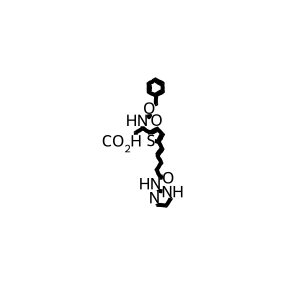 O=C(O)CC(NC(=O)OCc1ccccc1)c1ccc(C=CCCC(=O)NC2=NCCCN2)s1